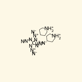 C1CC[NH2+]CC1.C1CC[NH2+]CC1.[N-]=[N+]=[N][Cu-2]([N]=[N+]=[N-])([N]=[N+]=[N-])[N]=[N+]=[N-]